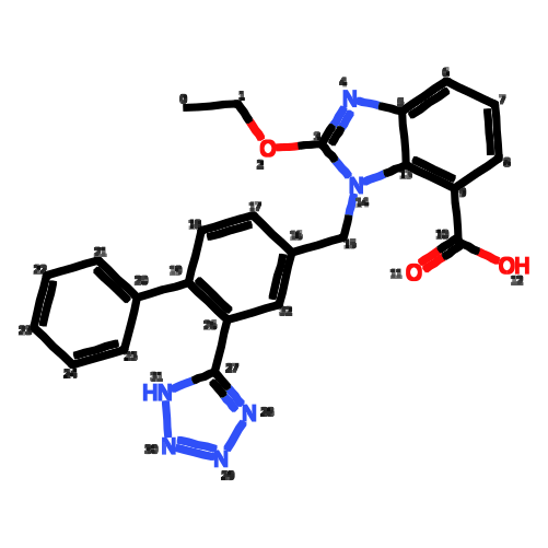 CCOc1nc2cccc(C(=O)O)c2n1Cc1ccc(-c2ccccc2)c(-c2nnn[nH]2)c1